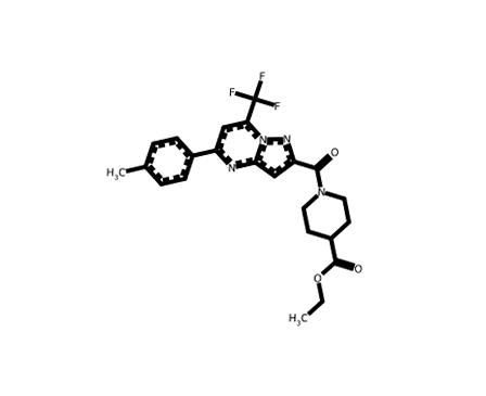 CCOC(=O)C1CCN(C(=O)c2cc3nc(-c4ccc(C)cc4)cc(C(F)(F)F)n3n2)CC1